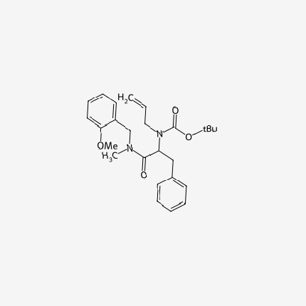 C=CCN(C(=O)OC(C)(C)C)C(Cc1ccccc1)C(=O)N(C)Cc1ccccc1OC